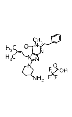 CC(C)=CCn1c(N2CCCC(N)C2)nc2nc(CCc3ccccc3)n(C)c(=O)c21.O=C(O)C(F)(F)F